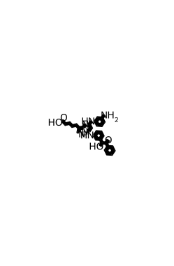 Nc1cccc(Nc2cc(Nc3cccc(C(O)C(=O)c4ccccc4)c3)n3ncc(CCCCC(=O)O)c3n2)c1